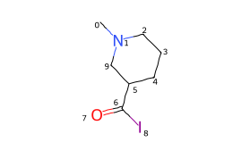 CN1CCCC(C(=O)I)C1